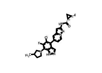 CC1CCN(c2c(F)c(Cl)c(-c3ccn4nc(NC(=O)[C@@H]5C[C@@H]5F)cc4c3)c3cn[nH]c23)C1